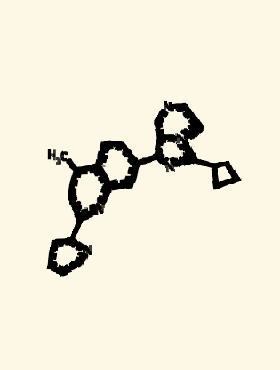 Cc1cc(-c2ccccn2)nc2cc(-c3nc(C4CCC4)n4ccncc34)ccc12